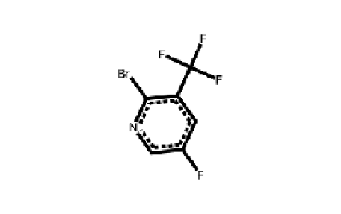 Fc1cnc(Br)c(C(F)(F)F)c1